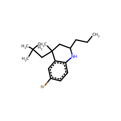 CCCC1CC(C)(CC(C)(C)C)c2cc(Br)ccc2N1